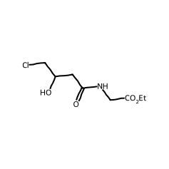 CCOC(=O)CNC(=O)CC(O)CCl